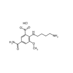 COc1cc(C(N)=O)cc([N+](=O)[O-])c1NCCCCN.Cl